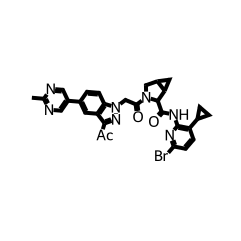 CC(=O)c1nn(CC(=O)N2CC3CC3C2C(=O)Nc2nc(Br)ccc2C2CC2)c2ccc(-c3cnc(C)nc3)cc12